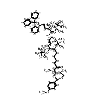 COc1ccc(C2OC[C@H](C)[C@@H]([C@@H](C)C(=O)CCCC[C@H](C)[C@@H](O[Si](C)(C)C(C)(C)C)[C@@H](C)C=C[C@H](C[C@H](O[Si](C)(C)C(C)(C)C)[C@H](C)C=CCOC(c3ccccc3)(c3ccccc3)c3ccccc3)O[Si](C)(C)C(C)(C)C)O2)cc1